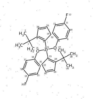 CC(C)(C)C1=[C]([Zr]([O]c2ccc(F)cc2)([O]c2ccc(F)cc2)[C]2=C(C(C)(C)C)C=CC2)CC=C1